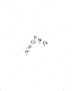 [Ce].[Co].[H+].[Ni].[Ti].[Zr]